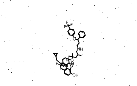 CC(CNCCC(Oc1ccc(C(F)(F)F)cc1)c1ccccc1)CC1(C)C[C@@]2(CC[C@@]3(O)[C@H]4Cc5ccc(O)c6c5[C@@]3(CCN4CC3CC3)[C@H]2O6)O1